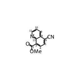 COC(=O)c1ccc(C#N)c2cccnc12